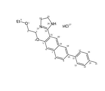 CCOCCOc1cc2ccc(-c3ccc(C)cc3)cc2cc1C1=NCCN1.Cl